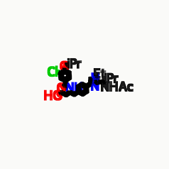 CCn1cc(-c2ccc(CC(CCO)NC(=O)c3ccc(OC(C)C)c(Cl)c3)cc2)nc1C(NC(C)=O)C(C)C